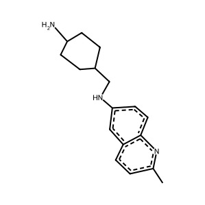 Cc1ccc2cc(NCC3CCC(N)CC3)ccc2n1